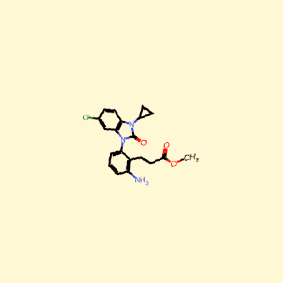 COC(=O)CCc1c(N)cccc1-n1c(=O)n(C2CC2)c2ccc(Cl)cc21